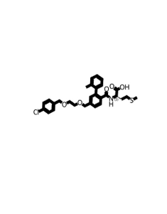 CSCC[C@H](NC(=O)c1ccc(COCCOCc2ccc(Cl)cc2)cc1-c1ccccc1C)C(=O)O